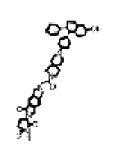 O=C1CCC(N2Cc3cc4c(cc3C2=O)CN(CC(=O)N2CCC3(CC2)CCN(c2ccc([C@@H]5c6ccc(O)cc6CC[C@@H]5c5ccccc5)cc2)CC3)C4)C(=O)N1